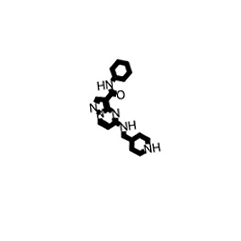 O=C(NC1CCCCC1)c1cnn2ccc(NCC3CCNCC3)nc12